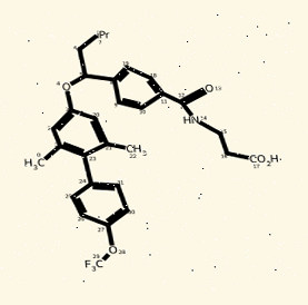 Cc1cc(OC(CC(C)C)c2ccc(C(=O)NCCC(=O)O)cc2)cc(C)c1-c1ccc(OC(F)(F)F)cc1